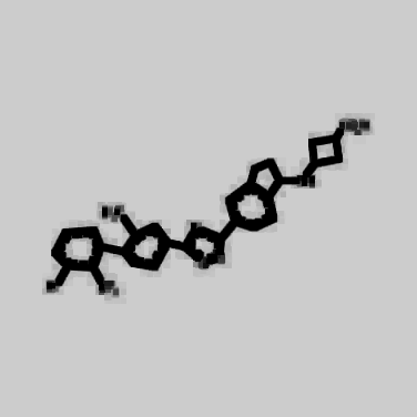 Cc1cc(-c2nc(-c3ccc4c(c3)CCC4NC3CC(C(=O)O)C3)no2)ccc1-c1cccc(Br)c1C(F)(F)F